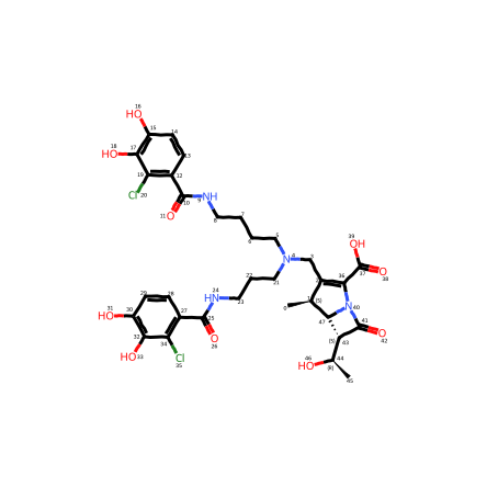 C[C@H]1C(CN(CCCCNC(=O)c2ccc(O)c(O)c2Cl)CCCNC(=O)c2ccc(O)c(O)c2Cl)=C(C(=O)O)N2C(=O)[C@H]([C@@H](C)O)C12